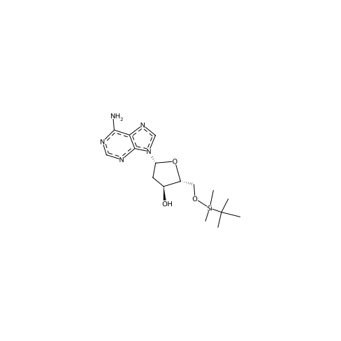 CC(C)(C)[Si](C)(C)OC[C@H]1O[C@@H](n2cnc3c(N)ncnc32)C[C@@H]1O